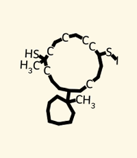 CC1(S)CCCCCCC(SI)CCCCC(C2(C)CCCCCCC2)CCC1